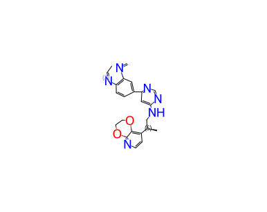 C=Nc1cc(-c2cc(NC[C@@H](C)c3ccnc4c3OCCO4)ncn2)ccc1/N=C\C